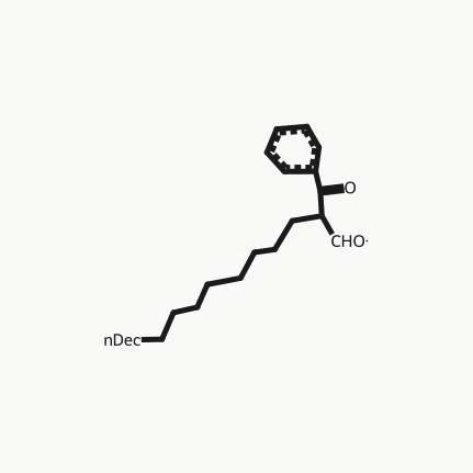 CCCCCCCCCCCCCCCCCCC([C]=O)C(=O)c1ccccc1